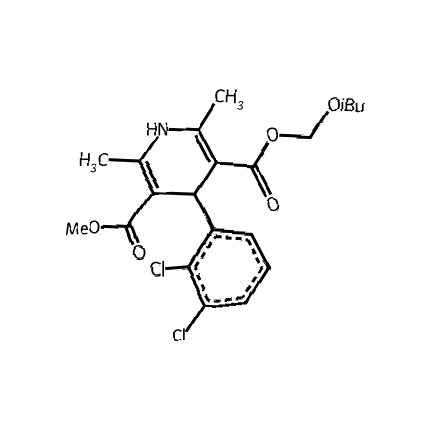 COC(=O)C1=C(C)NC(C)=C(C(=O)OCOCC(C)C)C1c1cccc(Cl)c1Cl